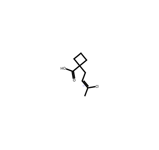 C/C(Cl)=C/CC1(C(=O)O)CCC1